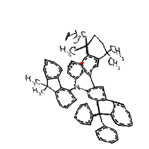 CC1(C)CCC(C)(C)c2cc(-c3cc4c(cc3N(c3ccccc3)c3cccc5c3-c3ccccc3C5(C)C)C(c3ccccc3)(c3ccccc3)c3ccccc3-4)ccc21